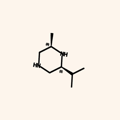 CC(C)[C@H]1CNC[C@@H](C)N1